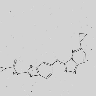 O=C(Nc1nc2ccc(Sc3nnc4ccc(C5CC5)nn34)cc2s1)C1CC1